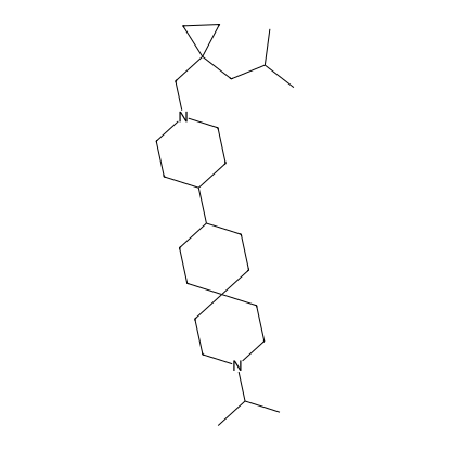 CC(C)CC1(CN2CCC(C3CCC4(CC3)CCN(C(C)C)CC4)CC2)CC1